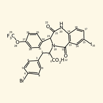 O=C(O)C(Cc1ccc(Br)cc1)N1C(=O)c2cc(I)ccc2NC(=O)C1c1ccc(OC(F)(F)F)cc1